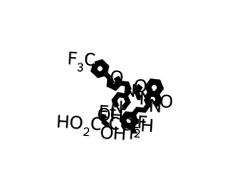 CCN1CCC(N(Cc2ccc(-c3ccc(C(F)(F)F)cc3)o2)C(=O)Cn2c(CCc3cccc(F)c3F)nc(=O)c3ccccc32)CC1.O=C(O)C(O)C(O)C(=O)O